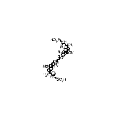 C[C@H](CCC(=O)NCCS(=O)(=O)O)[C@H]1CC[C@@H]2C3[C@@H](CC[C@@]21C)[C@@]1(C)CC[C@H](OC(=O)CCC(=O)O[C@H]2CC[C@@]4(C)C(C2)C[C@H](O)C2[C@H]5CC[C@H]([C@H](C)CCC(=O)NCCS(=O)(=O)O)[C@@]5(C)CC[C@H]24)CC1C[C@@H]3O